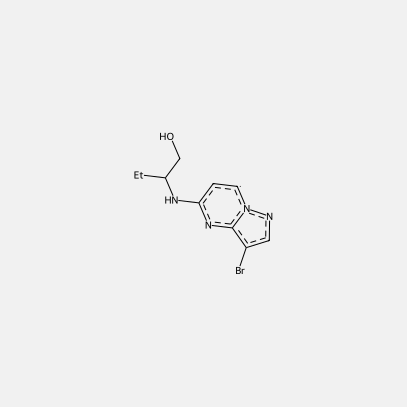 CCC(CO)Nc1c[c]n2ncc(Br)c2n1